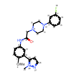 COc1ccc(NC(=O)CN2CCN(c3cccc(F)c3)CC2)cc1-c1ccnn1C